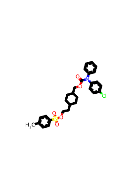 Cc1ccc(S(=O)(=O)OCCC2CCC(COC(=O)N(c3ccccc3)c3ccc(Cl)cc3)CC2)cc1